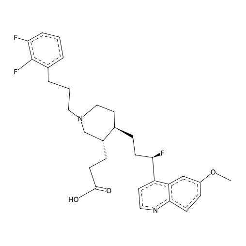 COc1ccc2nccc([C@H](F)CC[C@@H]3CCN(CCCc4cccc(F)c4F)C[C@H]3CCC(=O)O)c2c1